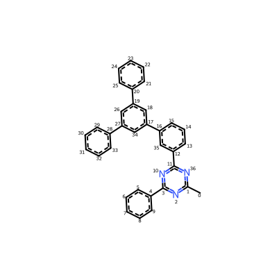 Cc1nc(-c2ccccc2)nc(-c2cccc(-c3cc(-c4ccccc4)cc(-c4ccccc4)c3)c2)n1